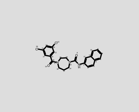 O=C(Nc1ccc2ccccc2c1)N1CCCN(C(=O)c2cc(Cl)cc(Cl)c2)CC1